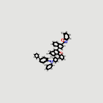 c1ccc(-c2ccc(N(c3ccccc3)c3ccc(-c4cccc5oc6c(-c7ccc(-c8nc9ccccc9o8)c8ccccc78)cc7ccccc7c6c45)cc3)cc2)cc1